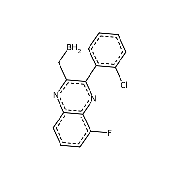 BCc1nc2cccc(F)c2nc1-c1ccccc1Cl